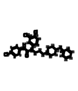 O=C(Nc1ccc(Cl)cc1)N(CCCN1CCC(Cc2ccccc2)CC1)c1ccc(Cl)c(Cl)c1